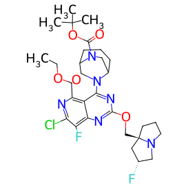 CCOC(=O)c1nc(Cl)c(F)c2nc(OC[C@@]34CCCN3C[C@H](F)C4)nc(N3CC4CCCC3CN4C(=O)OC(C)(C)C)c12